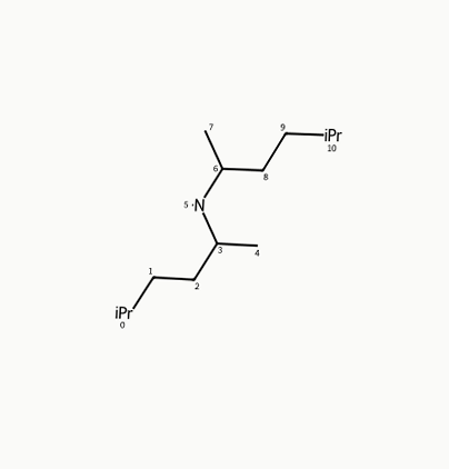 CC(C)CCC(C)[N]C(C)CCC(C)C